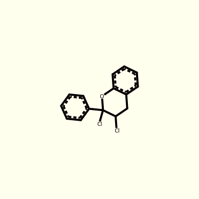 ClC1Cc2ccccc2OC1(Cl)c1ccccc1